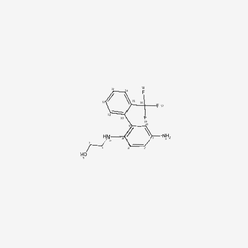 Nc1ccc(NCCO)c(-c2ccccc2C(F)(F)F)c1